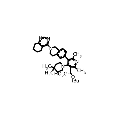 Cc1nc(C)c([C@H](OC(C)(C)C)C(=O)O)c(N2CCC(C)(C)CC2)c1-c1ccc2c(c1)CCN(c1ncnc3c1CCCC3)C2